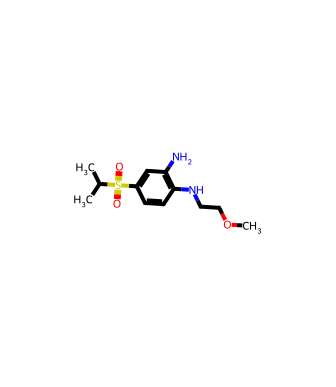 COCCNc1ccc(S(=O)(=O)C(C)C)cc1N